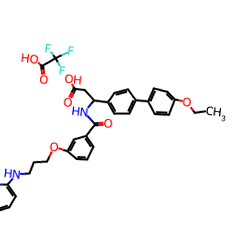 CCOc1ccc(-c2ccc(C(CC(=O)O)NC(=O)c3cccc(OCCCNc4ccccn4)c3)cc2)cc1.O=C(O)C(F)(F)F